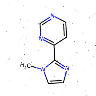 Cn1ccnc1-c1ccn[c]n1